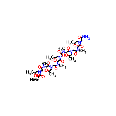 CNCC(=O)N(CC(=O)N(C)CC(=O)N(CC(=O)N(C)CC(=O)N(CC(=O)N(C)CC(=O)N(CC(=O)N(C)CC(=O)N(CC(N)=O)CC(C)O)CC(C)O)CC(C)O)CC(C)O)CC(C)O